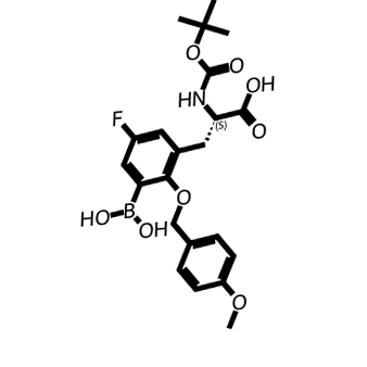 COc1ccc(COc2c(C[C@H](NC(=O)OC(C)(C)C)C(=O)O)cc(F)cc2B(O)O)cc1